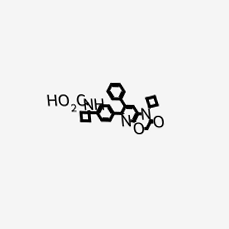 O=C(O)NC1(c2ccc(-c3nc4c(cc3-c3ccccc3)N(C3CCC3)C(=O)CO4)cc2)CCC1